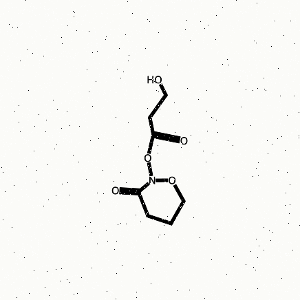 O=C(CCO)ON1OCCCC1=O